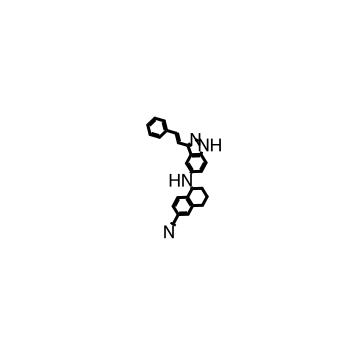 N#Cc1ccc2c(c1)CCCC2Nc1ccc2[nH]nc(/C=C/c3ccccc3)c2c1